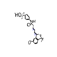 C/C(=C\C=C\CC(=O)Nc1ccc(C(=O)O)cc1)c1cc(Cl)ccc1C(F)F